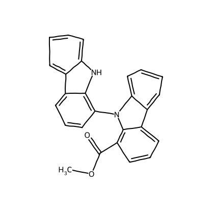 COC(=O)c1cccc2c3ccccc3n(-c3cccc4c3[nH]c3ccccc34)c12